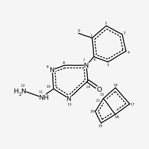 Cc1ccccc1-n1cnc(NN)nc1=O.c1cc2ccc1-2